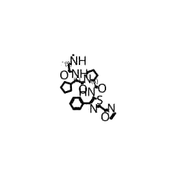 CN[C@@H](C)C(=O)N[C@H](C(=O)N1CCC[C@H]1C(=O)Nc1sc(-c2ncco2)nc1-c1ccccc1)C1CCCC1